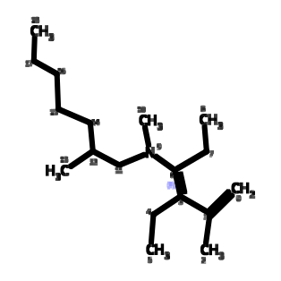 C=C(C)/C(CC)=C(\CC)N(C)CC(C)CCCCC